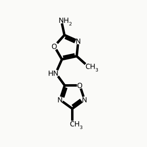 Cc1noc(Nc2oc(N)nc2C)n1